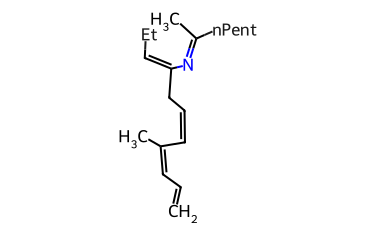 C=C/C=C(C)\C=C/CC(=C/CC)/N=C(\C)CCCCC